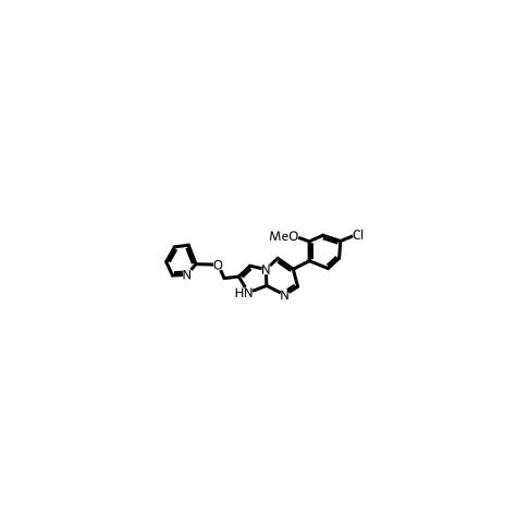 COc1cc(Cl)ccc1C1=CN2C=C(COc3ccccn3)NC2N=C1